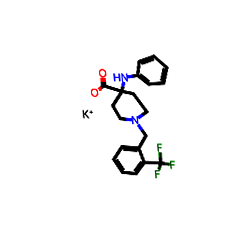 O=C([O-])C1(Nc2ccccc2)CCN(Cc2ccccc2C(F)(F)F)CC1.[K+]